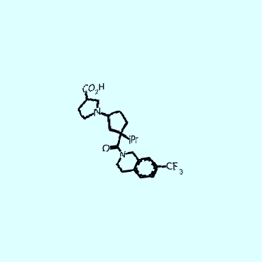 CC(C)C1(C(=O)N2CCc3ccc(C(F)(F)F)cc3C2)CCC(N2CCC(C(=O)O)C2)C1